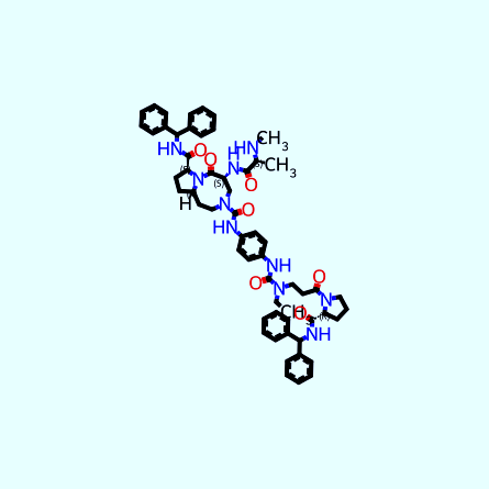 CCN(CCC(=O)N1CCC[C@@H]1C(=O)NC(c1ccccc1)c1ccccc1)C(=O)Nc1ccc(NC(=O)N2CC[C@H]3CC[C@@H](C(=O)NC(c4ccccc4)c4ccccc4)N3C(=O)[C@@H](NC(=O)[C@H](C)NC)C2)cc1